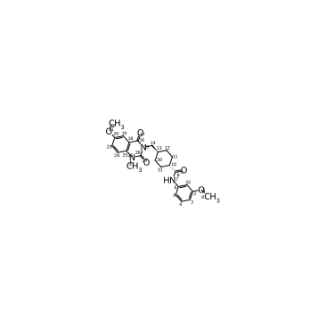 COc1cccc(NC(=O)[C@H]2CC[C@H](Cn3c(=O)c4cc(OC)ccc4n(C)c3=O)CC2)c1